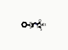 CCN1C(=O)/C(=C/c2csc(C3CCCCC3)n2)SC1=S